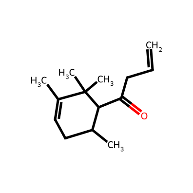 C=CCC(=O)C1C(C)CC=C(C)C1(C)C